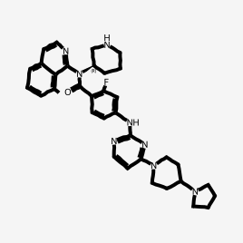 Cc1cccc2ccnc(N(C(=O)c3ccc(Nc4nccc(N5CCC(N6CCCC6)CC5)n4)cc3F)[C@@H]3CCCNC3)c12